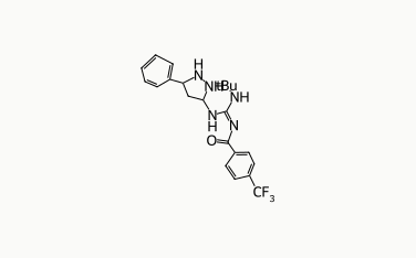 CC(C)(C)N/C(=N/C(=O)c1ccc(C(F)(F)F)cc1)NC1CC(c2ccccc2)NN1